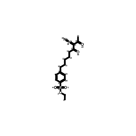 CCOS(=O)(=O)c1ccc(CCCCCC(=O)C(=[N+]=[N-])C(C)=O)cc1